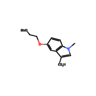 COCCOc1ccc2c(c1)c(C(=O)O)cn2C